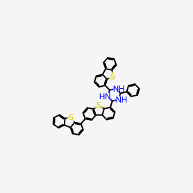 C1=CC2c3cc(-c4cccc5c4sc4ccccc45)ccc3SC2C(C2NC(c3ccccc3)NC(c3cccc4c3sc3ccccc34)N2)=C1